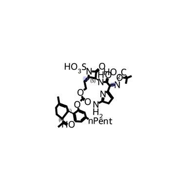 C=C(C)[C@@H]1CCC(C)=C[C@H]1c1c(O)cc(CCCCC)cc1OC(=O)OC/C=C1\[C@H](NC(=O)/C(=N\OC(C)(C)C(=O)O)C2=CCC(N)=N2)C(=O)N1S(=O)(=O)O